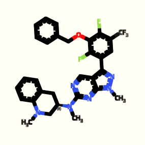 CN1C[C@H](N(C)c2ncc3c(-c4cc(C(F)(F)F)c(F)c(OCc5ccccc5)c4F)nn(C)c3n2)Cc2ccccc21